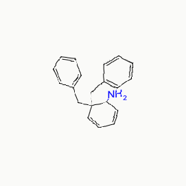 NC1C=CC=CC1(Cc1ccccc1)Cc1ccccc1